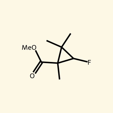 COC(=O)C1(C)C(F)C1(C)C